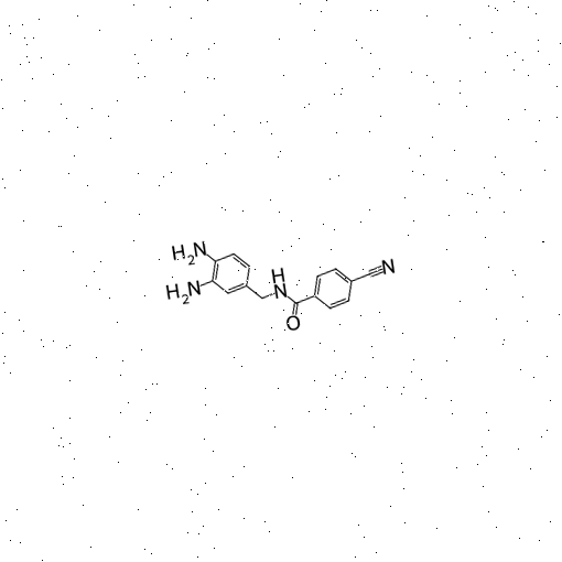 N#Cc1ccc(C(=O)NCc2ccc(N)c(N)c2)cc1